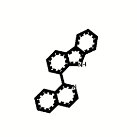 c1ccc2c(-c3cccc4c3[nH]c3ccccc34)nccc2c1